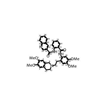 COc1cc2c(cc1OC)CN(CCc1cc(OC)c(OC)cc1NC(=O)c1ccccc1NC(=O)c1cnc3ccccc3c1)CC2